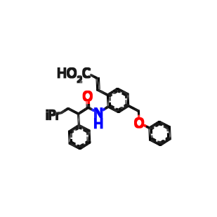 CC(C)CC(C(=O)Nc1cc(COc2ccccc2)ccc1C=CC(=O)O)c1ccccc1